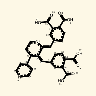 O=C(O)c1ccc(C=c2nccc(-c3ccncc3)c2=Cc2ccc(C(=O)O)c(C(=O)O)c2)cc1C(=O)O